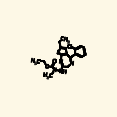 CCOC(=O)N(C)NC1=Nc2sc(CC)cc2C(c2ccccc2Cl)=NC1